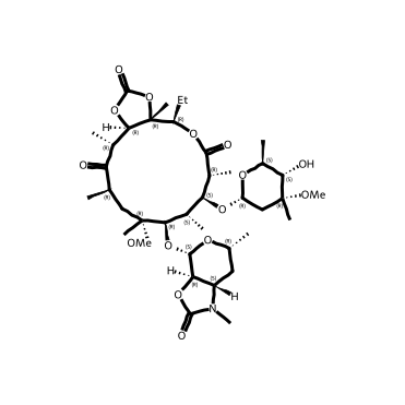 CC[C@H]1OC(=O)[C@H](C)[C@@H](O[C@H]2C[C@@](C)(OC)[C@@H](O)[C@H](C)O2)[C@H](C)[C@@H](O[C@@H]2O[C@H](C)C[C@H]3[C@H]2OC(=O)N3C)[C@](C)(OC)C[C@@H](C)C(=O)[C@H](C)[C@H]2OC(=O)O[C@@]21C